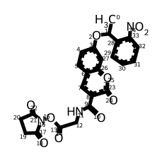 CC(Oc1ccc2cc(C(=O)NCC(=O)ON3C(=O)CCC3=O)c(=O)oc2c1)c1ccccc1[N+](=O)[O-]